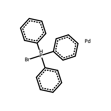 Br[PH](c1ccccc1)(c1ccccc1)c1ccccc1.[Pd]